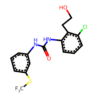 O=C(Nc1cccc(SC(F)(F)F)c1)Nc1cccc(Cl)c1CCO